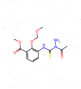 COCOc1c(NC(=S)N(N)C(C)=O)cccc1C(=O)OC